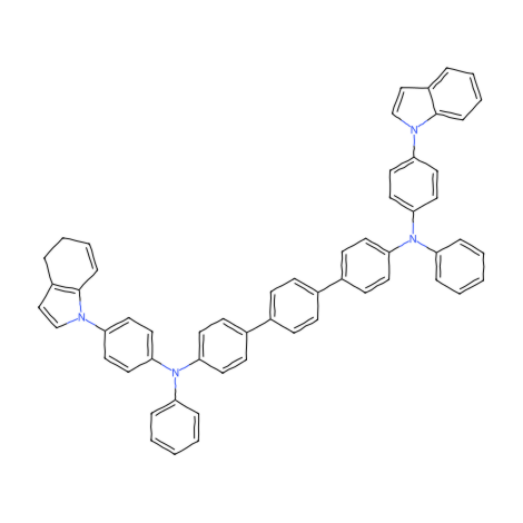 C1=Cc2c(ccn2-c2ccc(N(c3ccccc3)c3ccc(-c4ccc(-c5ccc(N(c6ccccc6)c6ccc(-n7ccc8ccccc87)cc6)cc5)cc4)cc3)cc2)CC1